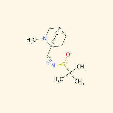 CN1CC2CCC1(/C=N\[S+]([O-])C(C)(C)C)CC2